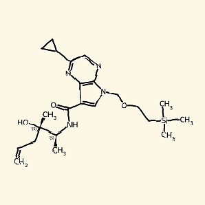 C=CC[C@](C)(O)[C@H](C)NC(=O)c1cn(COCC[Si](C)(C)C)c2ncc(C3CC3)nc12